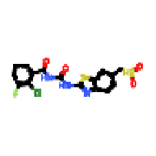 O=C(NC(=O)c1cccc(F)c1Cl)Nc1nc2ccc(C[SH](=O)=O)cc2s1